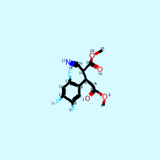 COC(=O)CC(c1cc(F)c(F)cc1F)C(C#N)C(=O)OC